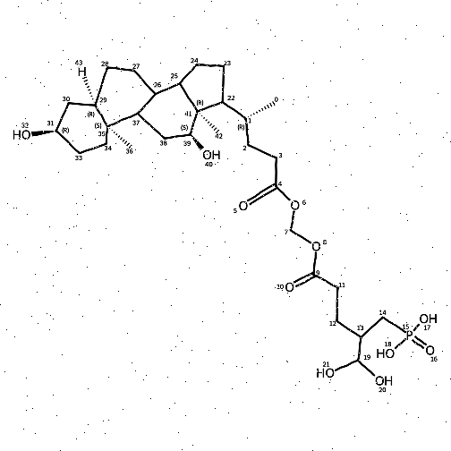 C[C@H](CCC(=O)OCOC(=O)CCC(CP(=O)(O)O)C(O)O)C1CCC2C3CC[C@@H]4C[C@H](O)CC[C@]4(C)C3C[C@H](O)[C@@]21C